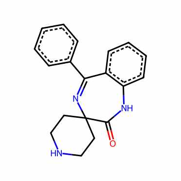 O=C1Nc2ccccc2C(c2ccccc2)=NC12CCNCC2